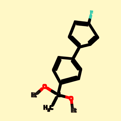 CCO[Si](C)(OCC)c1ccc(-c2ccc(F)cc2)cc1